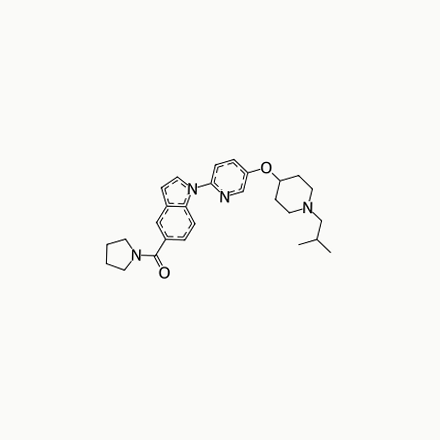 CC(C)CN1CCC(Oc2ccc(-n3ccc4cc(C(=O)N5CCCC5)ccc43)nc2)CC1